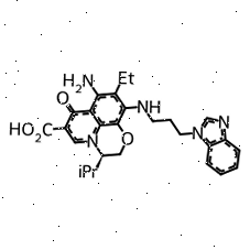 CCc1c(NCCCn2cnc3ccccc32)c2c3c(c1N)c(=O)c(C(=O)O)cn3[C@H](C(C)C)CO2